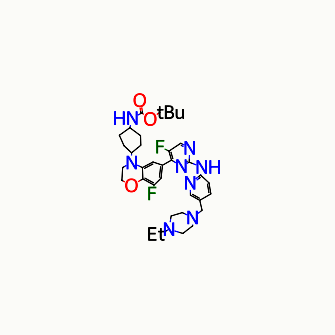 CCN1CCN(Cc2ccc(Nc3ncc(F)c(-c4cc(F)c5c(c4)N(C4CCC(NC(=O)OC(C)(C)C)CC4)CCO5)n3)nc2)CC1